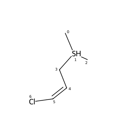 C[SH](C)C/C=C\Cl